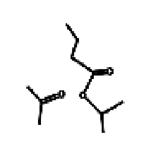 CC(C)=O.CCCC(=O)OC(C)C